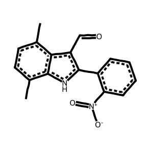 Cc1ccc(C)c2c(C=O)c(-c3ccccc3[N+](=O)[O-])[nH]c12